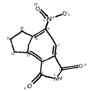 O=C1NC(=O)c2c1cc([N+](=O)[O-])c1c2CCC1